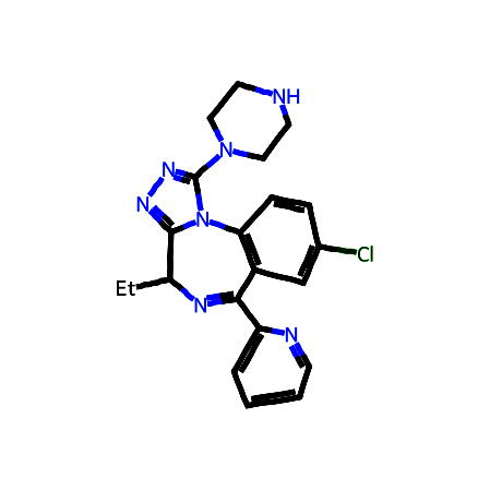 CCC1N=C(c2ccccn2)c2cc(Cl)ccc2-n2c1nnc2N1CCNCC1